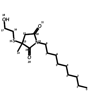 CCCCCCCCCN1C(=O)CC(C)(SCCO)C1=O